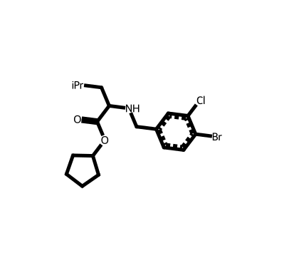 CC(C)CC(NCc1ccc(Br)c(Cl)c1)C(=O)OC1CCCC1